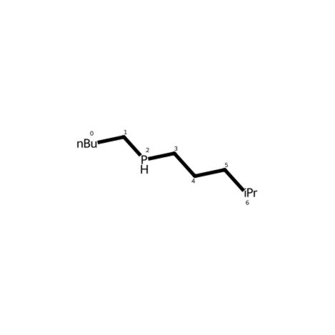 CCCCCPCCCC(C)C